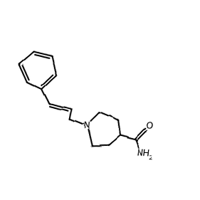 NC(=O)C1CCN(C/C=C/c2ccccc2)CC1